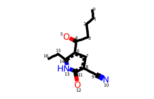 CCCCC(=O)c1cc(C#N)c(=O)[nH]c1CC